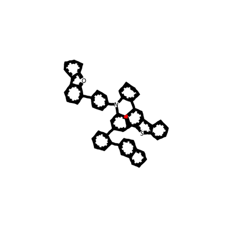 c1cc(-c2ccccc2-c2ccc3ccccc3c2)cc(N(c2ccc(-c3cccc4c3oc3ccccc34)cc2)c2ccccc2-c2ccc3sc4ccccc4c3c2)c1